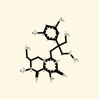 CCC1Cn2c(CC(CC)(COC)c3cc(C)cc(C)c3)nc(=O)c(O)c2C(=O)N1C